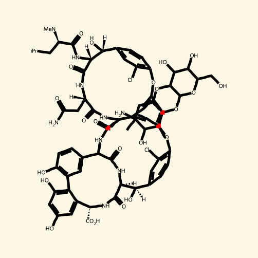 CN[C@H](CC(C)C)C(=O)N[C@H]1C(=O)N[C@@H](CC(N)=O)C(=O)N[C@H]2C(=O)NC3C(=O)N[C@H](C(=O)N[C@H](C(=O)O)c4cc(O)cc(O)c4-c4cc3ccc4O)[C@H](O)c3ccc(c(Cl)c3)Oc3cc2cc(c3OC2OC(CO)C(O)C(O)C2OC2CC(C)(N)C(O)C(C)O2)Oc2ccc(cc2Cl)[C@H]1O